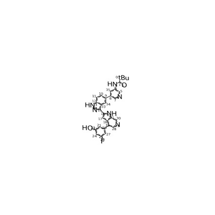 CC(C)(C)C(=O)Nc1cncc(-c2ccc3[nH]nc(-c4cc5c(-c6cc(O)cc(F)c6)cncc5[nH]4)c3c2)c1